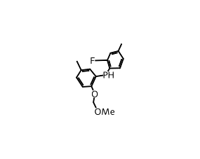 COCOc1ccc(C)cc1Pc1ccc(C)cc1F